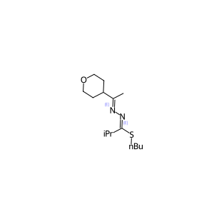 CCCCS/C(=N/N=C(\C)C1CCOCC1)C(C)C